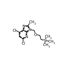 Cc1nc2c(Cl)cc(Cl)nc2n1COCC[Si](C)(C)C